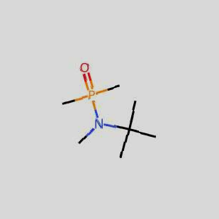 CN(C(C)(C)C)P(C)(C)=O